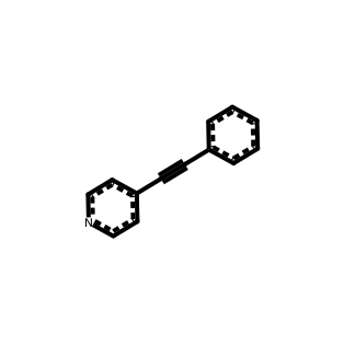 C(#Cc1ccncc1)c1ccccc1